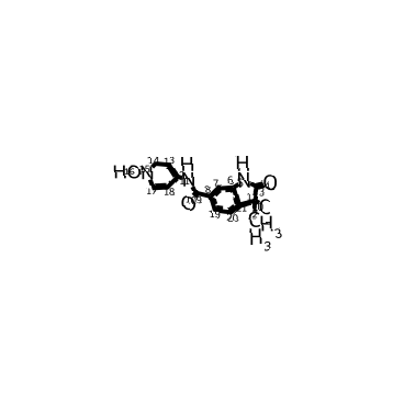 CC1(C)C(=O)Nc2cc(C(=O)NC3=CCN(O)C=C3)ccc21